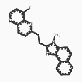 Cn1c(CCc2ccc3nccc(F)c3n2)nc2c3ccccc3ccc21